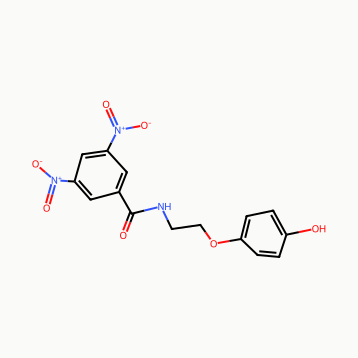 O=C(NCCOc1ccc(O)cc1)c1cc([N+](=O)[O-])cc([N+](=O)[O-])c1